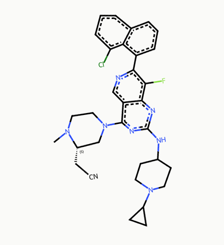 CN1CCN(c2nc(NC3CCN(C4CC4)CC3)nc3c(F)c(-c4cccc5cccc(Cl)c45)ncc23)C[C@@H]1CC#N